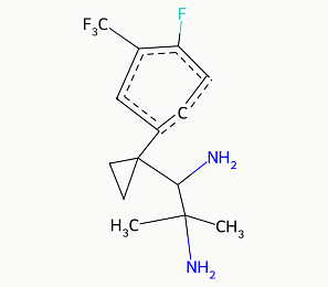 CC(C)(N)C(N)C1(c2ccc(F)c(C(F)(F)F)c2)CC1